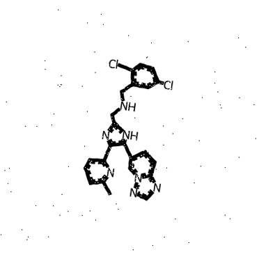 Cc1cccc(-c2nc(CNCc3cc(Cl)ccc3Cl)[nH]c2-c2ccc3ncnn3c2)n1